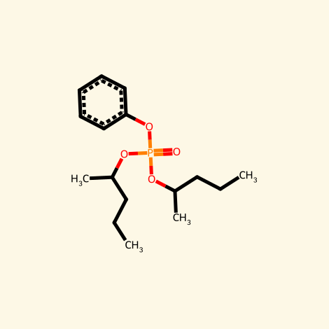 CCCC(C)OP(=O)(Oc1ccccc1)OC(C)CCC